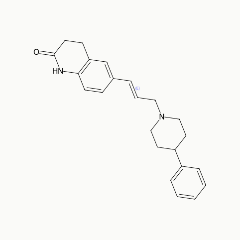 O=C1CCc2cc(/C=C/CN3CCC(c4ccccc4)CC3)ccc2N1